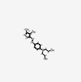 Cc1nsc(N=Nc2ccc(N(CCO)CCO)cc2)c1C#N